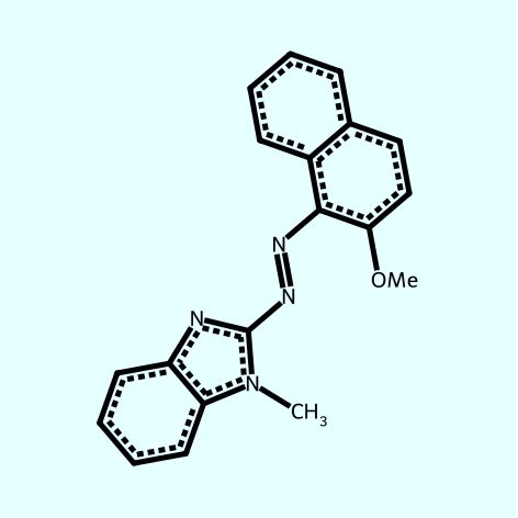 COc1ccc2ccccc2c1/N=N/c1nc2ccccc2n1C